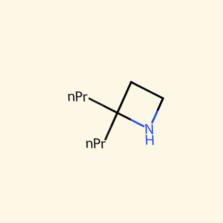 CCCC1(CCC)CCN1